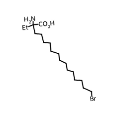 CCC(N)(CCCCCCCCCCCCCCBr)C(=O)O